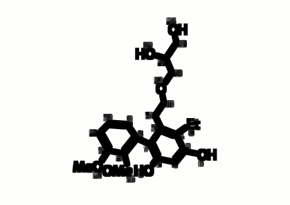 CCc1c(O)cc(O)c(-c2[c]ccc(OC)c2OC)c1CCOCC(O)CO